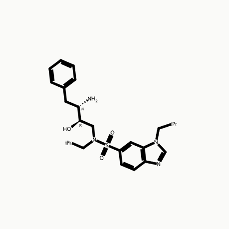 CC(C)CN(C[C@@H](O)[C@@H](N)Cc1ccccc1)S(=O)(=O)c1ccc2ncn(CC(C)C)c2c1